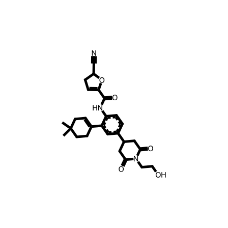 CC1(C)CC=C(c2cc(C3CC(=O)N(CCO)C(=O)C3)ccc2NC(=O)C2=CCC(C#N)O2)CC1